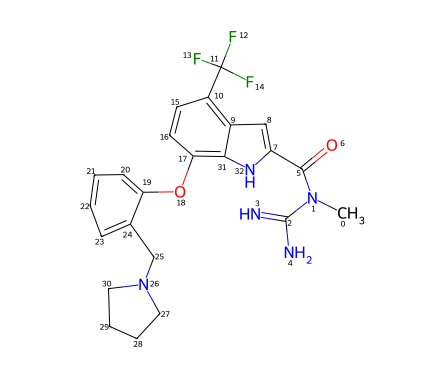 CN(C(=N)N)C(=O)c1cc2c(C(F)(F)F)ccc(Oc3ccccc3CN3CCCC3)c2[nH]1